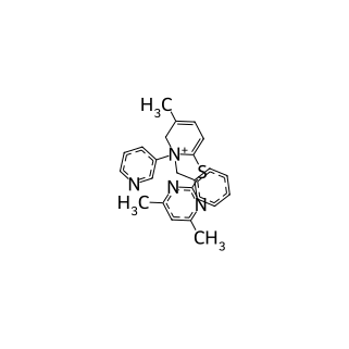 CC1=CC=C(Sc2nc(C)cc(C)n2)[N+](Cc2ccccc2)(c2cccnc2)C1